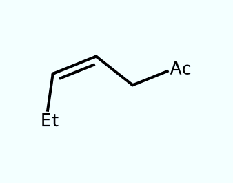 CC/C=C\CC(C)=O